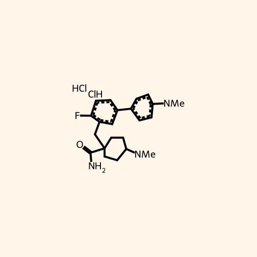 CNc1ccc(-c2ccc(F)c(CC3(C(N)=O)CCC(NC)CC3)c2)cc1.Cl.Cl